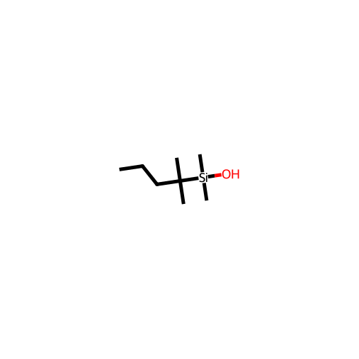 CCCC(C)(C)[Si](C)(C)O